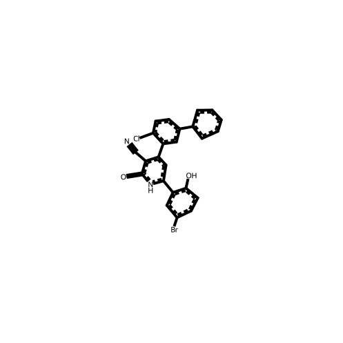 N#Cc1c(-c2cc(-c3ccccc3)ccc2Cl)cc(-c2cc(Br)ccc2O)[nH]c1=O